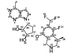 Cc1ncnc2c1ccn2[C@@H]1C[C@H](Oc2cc(C(F)F)c(F)c3c2CNC[C@@H]3C)[C@@H](O)[C@H]1O